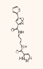 O=C(NCCCNC(=O)c1cnn[nH]1)c1cc(-c2cccs2)on1